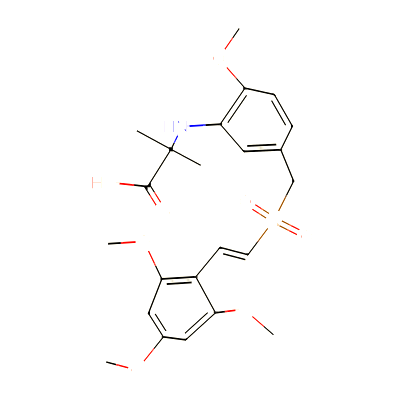 COc1cc(OC)c(C=CS(=O)(=O)Cc2ccc(OC)c(NC(C)(C)C(=O)O)c2)c(OC)c1